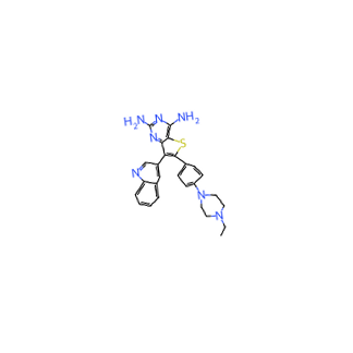 CCN1CCN(c2ccc(-c3sc4c(N)nc(N)nc4c3-c3cnc4ccccc4c3)cc2)CC1